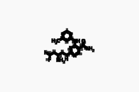 Cc1cccc(Nc2nc(NCC(N)CC(F)F)ncc2C(N)=O)c1